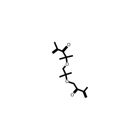 C=C(C)C(=O)COC(C)(C)COC(C)(C)C(=O)C(=C)C